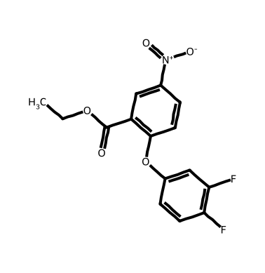 CCOC(=O)c1cc([N+](=O)[O-])ccc1Oc1ccc(F)c(F)c1